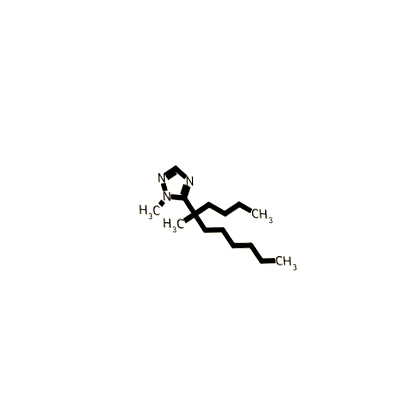 CCCCCCC(C)(CCCC)c1ncnn1C